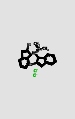 CCC1=Cc2ccccc2[CH]1[Hf+2]([CH]1C(CC)=Cc2ccccc21)=[Ge]([CH3])[CH3].[Cl-].[Cl-]